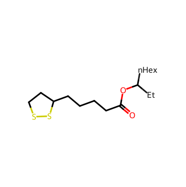 CCCCCCC(CC)OC(=O)CCCCC1CCSS1